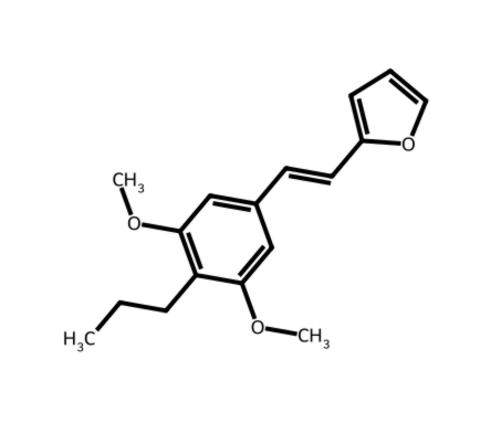 CCCc1c(OC)cc(C=Cc2ccco2)cc1OC